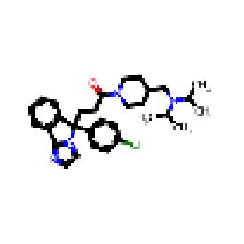 CC(C)N(CC1CCN(C(=O)CCC2(c3ccc(Cl)cc3)c3ccccc3-c3nccn32)CC1)C(C)C